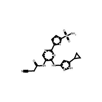 N#CCC(=O)Nc1cnc(-c2ccc(S(N)(=O)=O)s2)nc1Nc1cc(C2CC2)[nH]n1